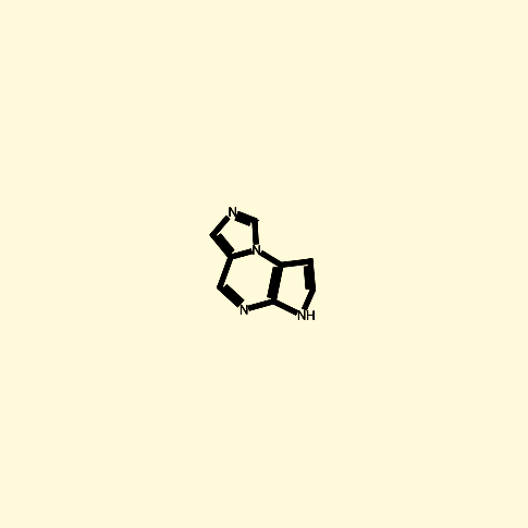 [c]1ncc2cnc3[nH]ccc3n12